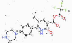 CCc1cc(C(=O)OC(=O)C(F)(F)F)c(=O)[nH]c1-c1ccc(N2CCNCC2)cc1